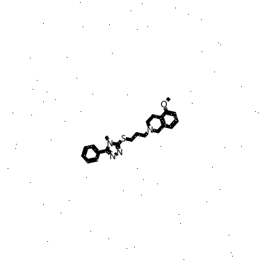 COc1cccc2c1CCN(CCCSc1nnc(-c3ccccc3)n1C)C2